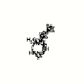 CC1(C)CC2CCCNc3cccc(n3)OSNC(=O)c3ccc(N4CCC(OCCCC5(C(F)(F)F)CC5)C4=O)nc3N1C2